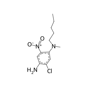 CCCCCN(C)c1cc(Cl)c(N)cc1[N+](=O)[O-]